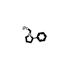 CC(C)CN1CCC[C@@H]1c1ccccc1